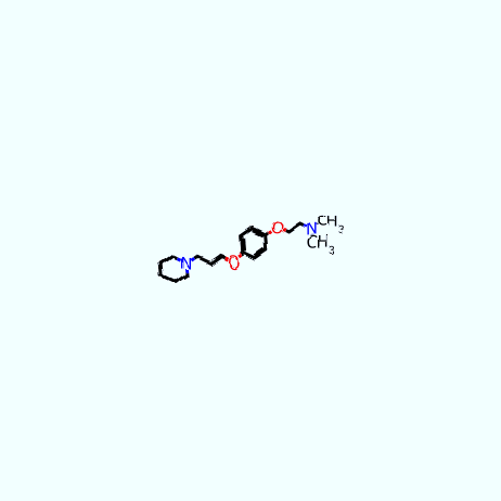 CN(C)CCOc1ccc(OCCCN2CCCCC2)cc1